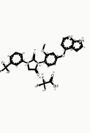 COc1cc(Oc2ccnc3[nH]ccc23)ccc1N1C(=O)CN(c2cccc(C(F)(F)F)c2)C1=O.O=C(O)C(F)(F)F